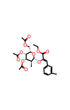 CCOC(=O)/C(=C/c1cccc(C)c1)O[C@H]1O[C@@H](COC(C)=O)[C@@H](OC(C)=O)[C@@H](OC(C)=O)[C@@H]1C